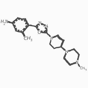 Cc1cc(N)ccc1-c1nnc(N2CCC(N3CCN(C)CC3)CC2)o1